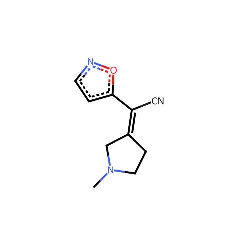 CN1CC/C(=C(\C#N)c2ccno2)C1